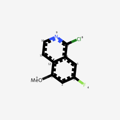 COc1cc(F)cc2c(Cl)nccc12